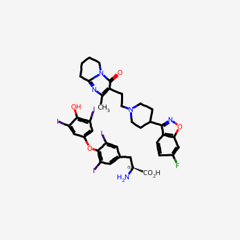 Cc1nc2n(c(=O)c1CCN1CCC(c3noc4cc(F)ccc34)CC1)CCCC2.N[C@@H](Cc1cc(I)c(Oc2cc(I)c(O)c(I)c2)c(I)c1)C(=O)O